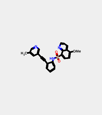 COc1ccc(S(=O)(=O)Nc2ccccc2C#Cc2cncc(C)c2)c2ncccc12